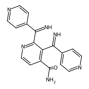 N=C(c1ccncc1)c1nccc(C(N)=O)c1C(=N)c1ccncc1